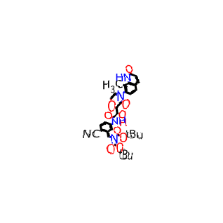 Cc1c(N2CCO[C@H]([C@@H](O)C(=O)Nc3ccc(C#N)c(CN(C(=O)OC(C)(C)C)C(=O)OC(C)(C)C)c3)C2=O)ccc2ccc(=O)[nH]c12